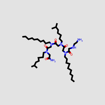 CCCCCCCCCCN(CC(=O)N(CCCCCC(C)C)CC(=O)N(CCCCCCCCCC)CC(=O)N(CCCCCC(C)C)CC(N)=O)C(=O)CNCCN